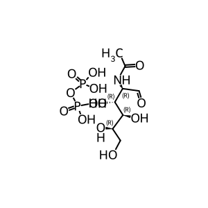 CC(=O)N[C@@H](C=O)[C@@H](O)[C@@H](O)[C@H](O)CO.O=P(O)(O)OP(=O)(O)O